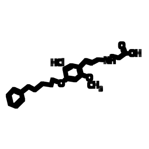 COc1cc(OCCCCCc2ccccc2)ccc1C=CCNCCC(=O)O.Cl